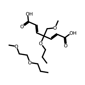 CCCOC(C=CC(=O)O)(C=CC(=O)O)COC.CCCOCCOC